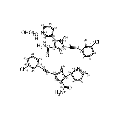 Cc1c(Cl)cccc1C#Cc1nc(C(N)=O)c(-c2cccnc2)n1C.Cc1ccc(-c2c(C(N)=O)nc(C#Cc3cccc(Cl)c3)n2C)cn1.O=CO